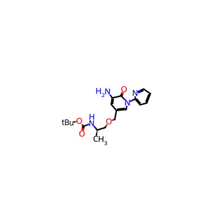 C[C@H](COCc1cc(N)c(=O)n(-c2ccccn2)c1)NC(=O)OC(C)(C)C